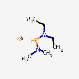 Br.CCN(CC)PN(C)C